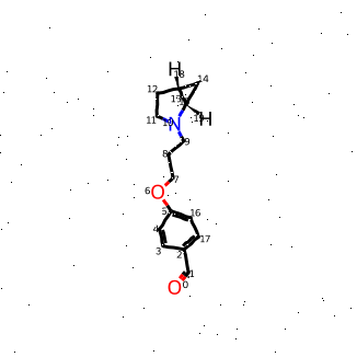 O=[C]c1ccc(OCCCN2CC[C@@H]3C[C@@H]32)cc1